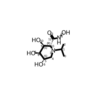 CC(C)N1C[C@H](O)[C@@H](O)[C@@H](O)[C@@H]1C(=O)NO